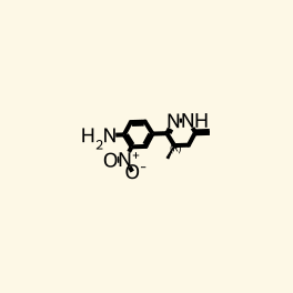 C=C1C[C@@H](C)C(c2ccc(N)c([N+](=O)[O-])c2)=NN1